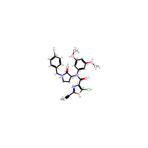 C#Cc1nc(C(=O)N(c2cc(OC)cc(OC)c2)C2CCN(Cc3ccc(F)cc3)C2=O)c(Cl)s1